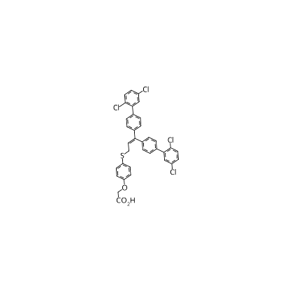 O=C(O)COc1ccc(SCC=C(c2ccc(-c3cc(Cl)ccc3Cl)cc2)c2ccc(-c3cc(Cl)ccc3Cl)cc2)cc1